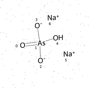 O=[As]([O-])([O-])O.[Na+].[Na+]